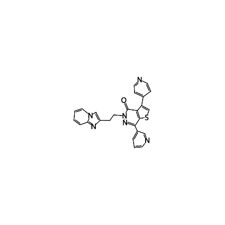 O=c1c2c(-c3ccncc3)csc2c(-c2cccnc2)nn1CCc1cn2ccccc2n1